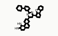 N=C1C=Cc2ccc3cc(-c4cc(-c5cccc6c5oc5ccccc56)nc(-c5cccc(-c6ccccc6)c5)n4)ccc3c2C1=N